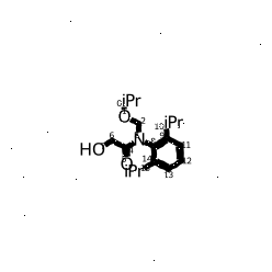 CC(C)OCN(C(=O)CO)c1c(C(C)C)cccc1C(C)C